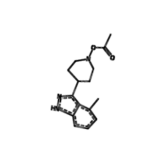 CC(=O)ON1CCC(c2n[nH]c3cccc(C)c23)CC1